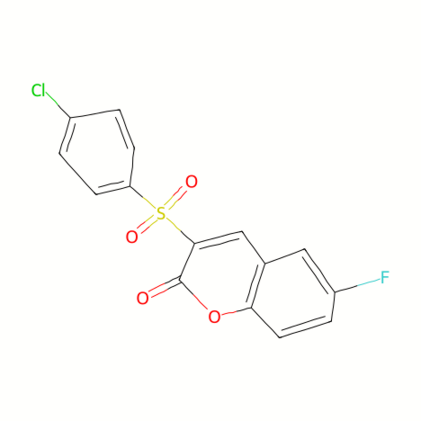 O=c1oc2ccc(F)cc2cc1S(=O)(=O)c1ccc(Cl)cc1